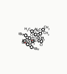 CC(C)(C)c1ccc2c(c1)C(C1CCCCC1)c1c-2ccc(C(C)(C)C)[c]1[Zr]([CH3])([CH3])[c]1c(C(C)(C)C)ccc2c1C(C1CCCCC1)c1cc(C(C)(C)C)ccc1-2.Cc1cc(C)c(-c2ccc3c(c2)-c2cc(-c4c(C)cc(C)cc4C)ccc2[CH]3[Zr]([CH3])([CH3])[CH]2C=Cc3c(Cl)ccc(Cl)c32)c(C)c1